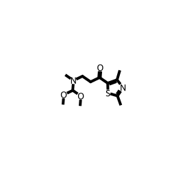 COC(OC)N(C)CCC(=O)c1sc(C)nc1C